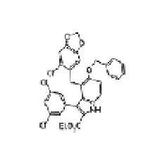 CCOC(=O)c1[nH]c2ccc(OCc3ccccc3)c(Cc3cc4c(cc3Cl)OCO4)c2c1-c1cc(Cl)cc(Cl)c1